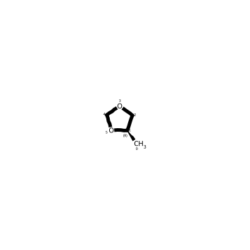 C[C@@H]1COCO1